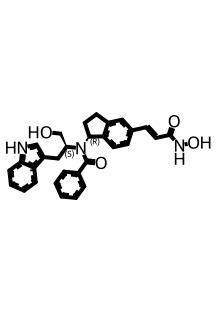 O=C(C=Cc1ccc2c(c1)CC[C@H]2N(C(=O)c1ccccc1)[C@H](CO)Cc1c[nH]c2ccccc12)NO